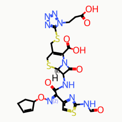 O=CNc1nc(/C(=N/OC2C=CCC2)C(=O)NC2C(=O)N3C(C(=O)O)=C(CSc4nnnn4CCC(=O)O)CS[C@H]23)cs1